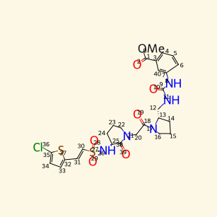 COC(=O)c1cccc(NC(=O)NC[C@@H]2CCCN2C(=O)CN2CCC[C@H](NS(=O)(=O)/C=C/c3ccc(Cl)s3)C2=O)c1